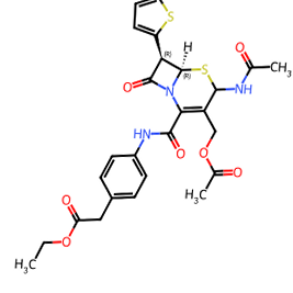 CCOC(=O)Cc1ccc(NC(=O)C2=C(COC(C)=O)C(NC(C)=O)S[C@@H]3[C@H](c4cccs4)C(=O)N23)cc1